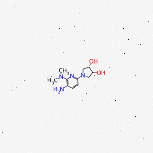 CN(C)c1nc(N2CC(O)C(O)C2)ccc1N